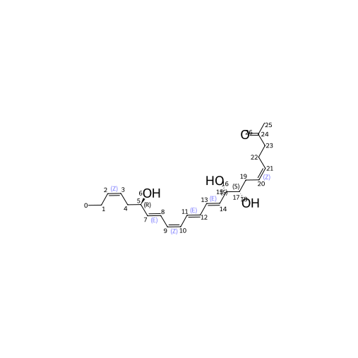 CC/C=C\C[C@@H](O)/C=C/C=C\C=C\C=C\[C@H](O)[C@@H](O)C/C=C\CCC(C)=O